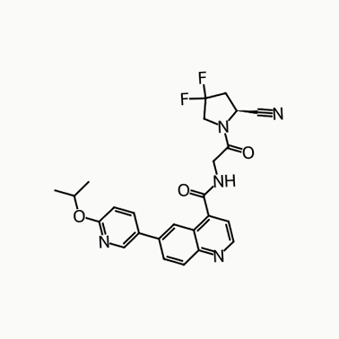 CC(C)Oc1ccc(-c2ccc3nccc(C(=O)NCC(=O)N4CC(F)(F)C[C@H]4C#N)c3c2)cn1